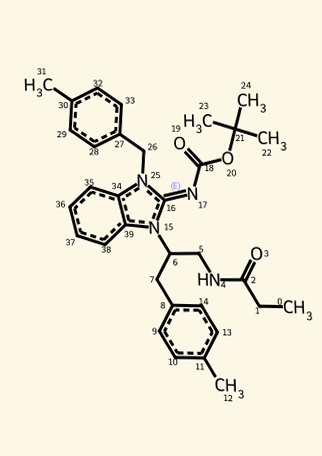 CCC(=O)NCC(Cc1ccc(C)cc1)n1/c(=N/C(=O)OC(C)(C)C)n(Cc2ccc(C)cc2)c2ccccc21